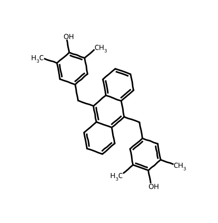 Cc1cc(Cc2c3ccccc3c(Cc3cc(C)c(O)c(C)c3)c3ccccc23)cc(C)c1O